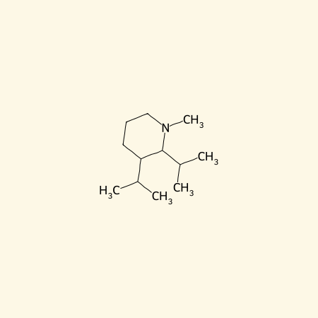 CC(C)C1CCCN(C)C1C(C)C